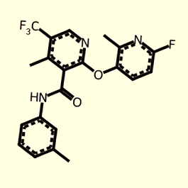 Cc1cccc(NC(=O)c2c(Oc3ccc(F)nc3C)ncc(C(F)(F)F)c2C)c1